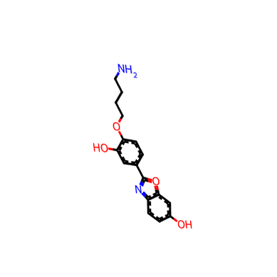 NCCCCOc1ccc(-c2nc3ccc(O)cc3o2)cc1O